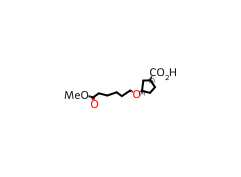 COC(=O)CCCCCO[C@@H]1CC[C@H](C(=O)O)C1